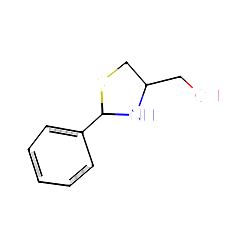 OCC1CSC(c2ccccc2)N1